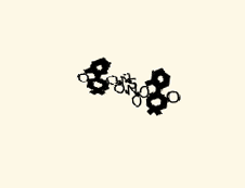 Cc1ccccc1C1=C(OC(=O)N(C)SN(C)C(=O)OC2=C(c3ccccc3C)C(=O)CC(C)(C)C2)CC(C)(C)CC1=O